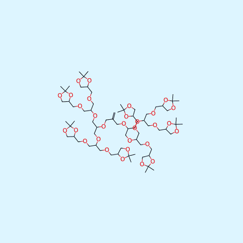 C=C(COC(COC(COCC1COC(C)(C)O1)COCC1COC(C)(C)O1)COC(COCC1COC(C)(C)O1)COCC1COC(C)(C)O1)COC(COC(COCC1COC(C)(C)O1)COCC1COC(C)(C)O1)COC(COCC1COC(C)(C)O1)COCC1COC(C)(C)O1